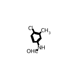 Cc1cc(N[C]=O)ccc1Cl